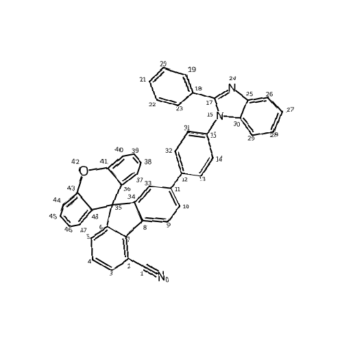 N#Cc1cccc2c1-c1ccc(-c3ccc(-n4c(-c5ccccc5)nc5ccccc54)cc3)cc1C21c2ccccc2Oc2ccccc21